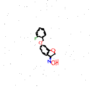 ON=C1COc2cc(OCc3ccccc3F)ccc21